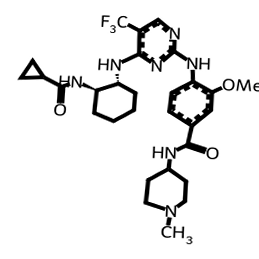 COc1cc(C(=O)NC2CCN(C)CC2)ccc1Nc1ncc(C(F)(F)F)c(N[C@@H]2CCCC[C@H]2NC(=O)C2CC2)n1